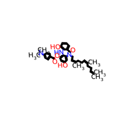 CC(C)=CCCC(C)=CCCC(C)=CCN1C(=O)c2cccc(O)c2Nc2c(OC(=O)c3ccc(N(C)C)cc3)cc(O)cc21